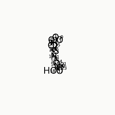 COC(=O)c1cc2sc(N(C)CC3CCN(C(=O)O)C(C(C)(C)C)C3)cc2oc1=O